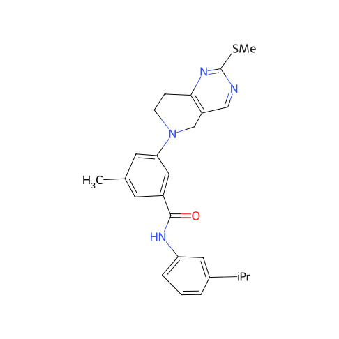 CSc1ncc2c(n1)CCN(c1cc(C)cc(C(=O)Nc3cccc(C(C)C)c3)c1)C2